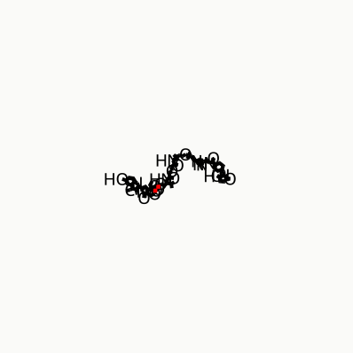 CCc1c2c(nc3ccc(O)cc13)-c1cc3c(c(=O)n1C2)COC(=O)C3(CC)OC(=O)OCC(NC(=O)COCC(=O)NC(C)(C)CCOC(C)(C)CCn1cc(CNC(=O)C2CCC(CN3C(=O)C=CC3=O)CC2)nn1)C(C)C